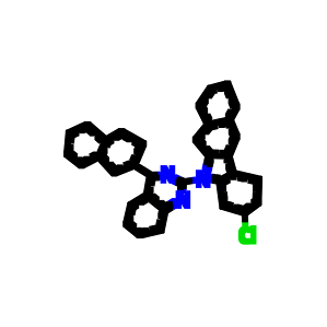 Clc1ccc2c3cc4ccccc4cc3n(-c3nc(-c4ccc5ccccc5c4)c4ccccc4n3)c2c1